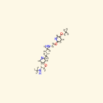 CC(CNC(C)(C)C)Oc1ccnc(C(C)(C)CCC(C)(C)NCCOc2ccc(OCC(C)(C)C)cn2)c1